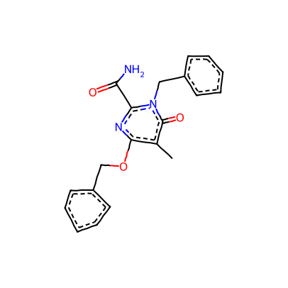 Cc1c(OCc2ccccc2)nc(C(N)=O)n(Cc2ccccc2)c1=O